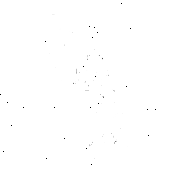 Cc1cc(Cl)c(OCc2cccc(F)c2)cc1N1C(=O)Nc2c(C(=O)Nc3ccc(CN(C)C[C@H]4CCCO4)cc3)sc3ncnc1c23